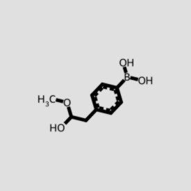 COC(O)Cc1ccc(B(O)O)cc1